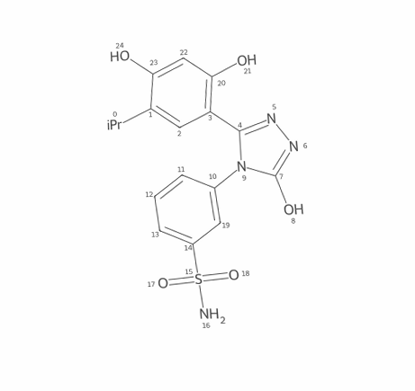 CC(C)c1cc(-c2nnc(O)n2-c2cccc(S(N)(=O)=O)c2)c(O)cc1O